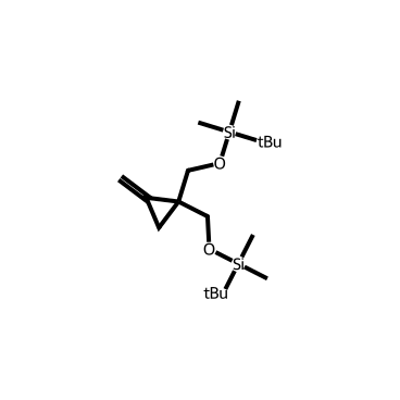 C=C1CC1(CO[Si](C)(C)C(C)(C)C)CO[Si](C)(C)C(C)(C)C